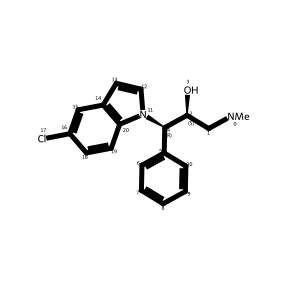 CNC[C@H](O)[C@@H](c1ccccc1)n1ccc2cc(Cl)ccc21